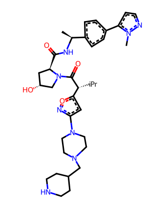 CC(C)[C@@H](C(=O)N1C[C@H](O)C[C@H]1C(=O)N[C@@H](C)c1ccc(-c2ccnn2C)cc1)c1cc(N2CCN(CC3CCNCC3)CC2)no1